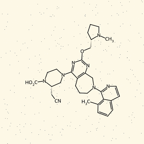 Cc1cccc2ccnc(N3CCCc4c(nc(OC[C@@H]5CCCN5C)nc4N4CCN(C(=O)O)[C@@H](CC#N)C4)C3)c12